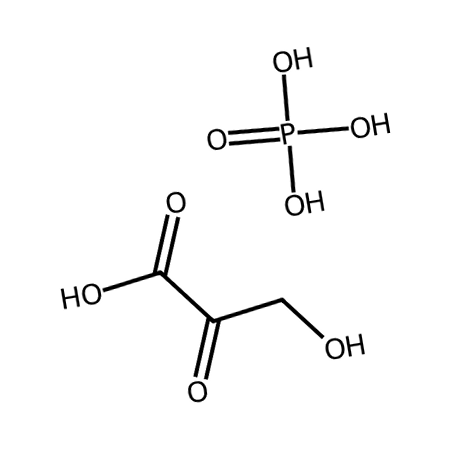 O=C(O)C(=O)CO.O=P(O)(O)O